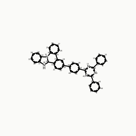 c1ccc(-c2nc(-c3ccccc3)nc(-c3ccc(-c4ccc5c(c4)-c4ccccc4N4c6ccccc6NC54)cc3)n2)cc1